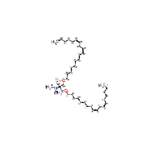 CCCCC/C=C\C/C=C\CCCCCCCCOCC(C)(COCCCCCCCC/C=C\C/C=C\CCCCC)N(C)C